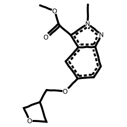 COC(=O)c1c2cc(OCC3COC3)ccc2nn1C